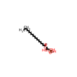 CC(C)CCCCCCCCCCCCCCCCCCC(=O)OCC(O)COP(=O)(O)O